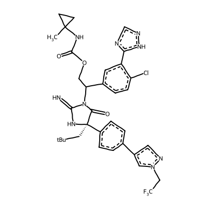 CC(C)(C)C[C@]1(c2ccc(-c3cnn(CC(F)(F)F)c3)cc2)NC(=N)N(C(COC(=O)NC2(C)CC2)c2ccc(Cl)c(-c3ncn[nH]3)c2)C1=O